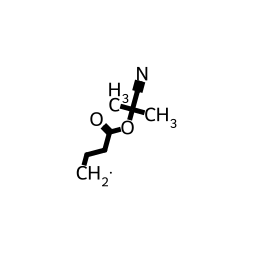 [CH2]CCC(=O)OC(C)(C)C#N